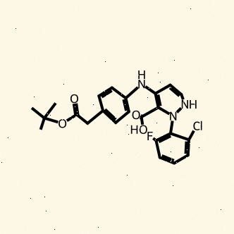 CC(C)(C)OC(=O)Cc1ccc(NC2=C(C(=O)O)N(c3c(F)cccc3Cl)NC=C2)cc1